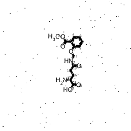 COC(=O)c1ccccc1OCNC(=O)CC[C@H](N)C(=O)O